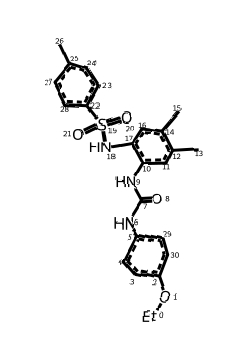 CCOc1ccc(NC(=O)Nc2cc(C)c(C)cc2NS(=O)(=O)c2ccc(C)cc2)cc1